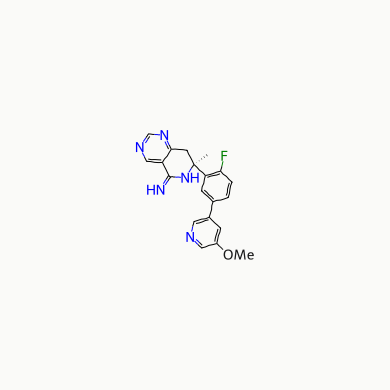 COc1cncc(-c2ccc(F)c([C@]3(C)Cc4ncncc4C(=N)N3)c2)c1